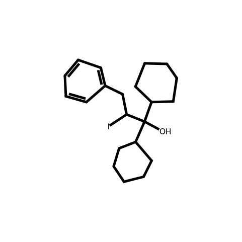 OC(C(I)Cc1ccccc1)(C1CCCCC1)C1CCCCC1